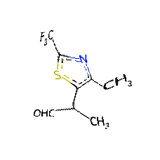 Cc1nc(C(F)(F)F)sc1C(C)C=O